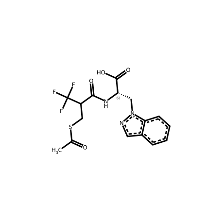 CC(=O)SCC(C(=O)N[C@@H](Cn1ncc2ccccc21)C(=O)O)C(F)(F)F